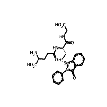 N[C@@H](CCC(=O)N[C@@H](CS)C(=O)NCC(=O)O)C(=O)O.O=c1c2ccccc2[se]n1-c1ccccc1